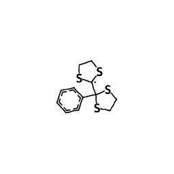 c1ccc(C2([C]3SCCS3)SCCS2)cc1